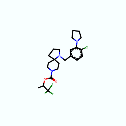 CC(OC(=O)N1CCC2(CCCN2Cc2ccc(Cl)c(N3CCCC3)c2)CC1)C(F)(F)F